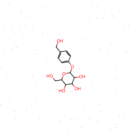 OCc1ccc(OC2OC(CO)C(O)C(O)C2O)cc1